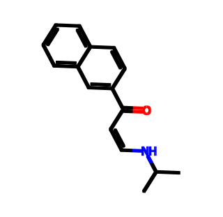 CC(C)N/C=C\C(=O)c1ccc2ccccc2c1